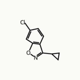 Clc1ccc2c(C3CC3)noc2c1